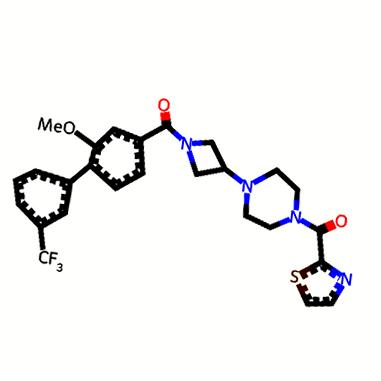 COc1cc(C(=O)N2CC(N3CCN(C(=O)c4nccs4)CC3)C2)ccc1-c1cccc(C(F)(F)F)c1